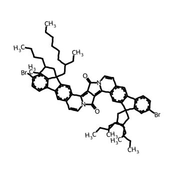 CCCCCCC(CC)CC1(CC(CC)CCCC)c2cc(Br)ccc2-c2cc3c(cc21)C1=C2C(=O)N4C=Cc5cc6c(cc5C4=C2C(=O)N1C=C3)C(CC(CC)CCCC)(CC(CC)CCCC)c1cc(Br)ccc1-6